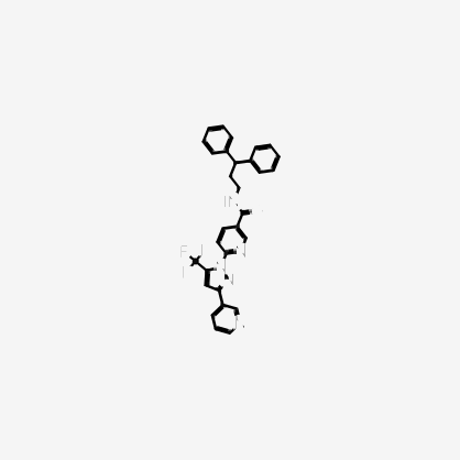 O=C(NCCC(c1ccccc1)c1ccccc1)c1ccc(-n2nc(-c3cccnc3)cc2C(F)(F)F)nc1